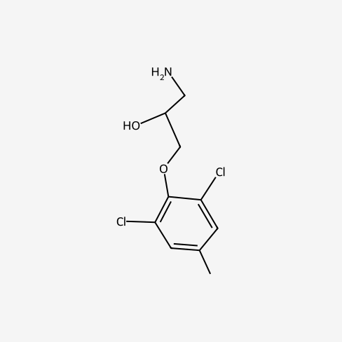 Cc1cc(Cl)c(OCC(O)CN)c(Cl)c1